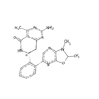 Cc1nc(N)nc2c1C(=O)N[C@@H](c1ccccc1-c1cnc3c(n1)OC(C)N3C)C2